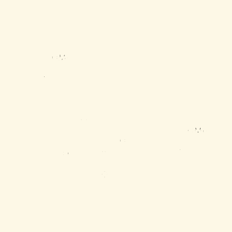 COC(C)(C)CCOC(=O)C(=O)OCCC(C)(C)OC